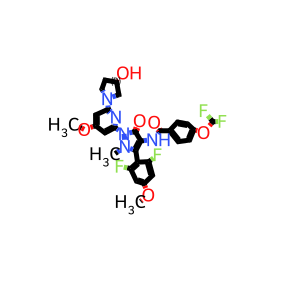 COc1cc(N2CC[C@@H](O)C2)nc(-n2c(=O)c(NC(=O)c3ccc(OC(F)F)cc3)c(-c3c(F)cc(OC)cc3F)n2C)c1